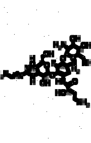 N=C(NCCN)NC1C(O)[C@@H](CO)OC(OC2=C(NC(=O)[C@@H](O)CCN)CC(N)[C@@H](O[C@H]3OC(CN)[C@@H](O)C(O)C3N)C2F)[C@@H]1O